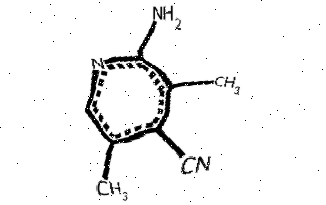 Cc1cnc(N)c(C)c1C#N